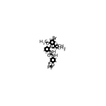 CCC1(CC)CN(c2ccccc2NC(=O)Nc2ccc(OC(F)(F)F)cc2)c2c(OC)cc(Br)cc21